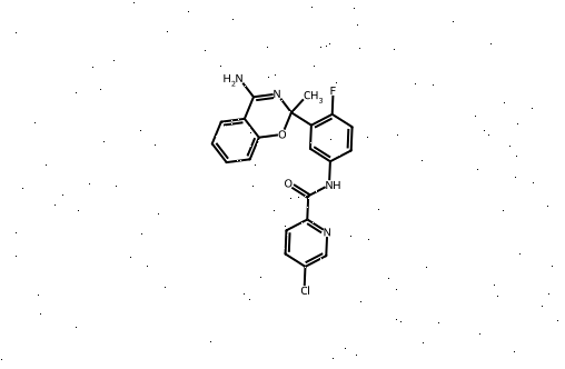 CC1(c2cc(NC(=O)c3ccc(Cl)cn3)ccc2F)N=C(N)c2ccccc2O1